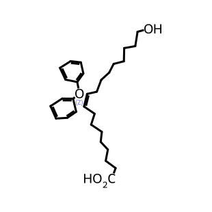 O=C(O)CCCCCCC/C=C\CCCCCCCCO.c1ccc(Oc2ccccc2)cc1